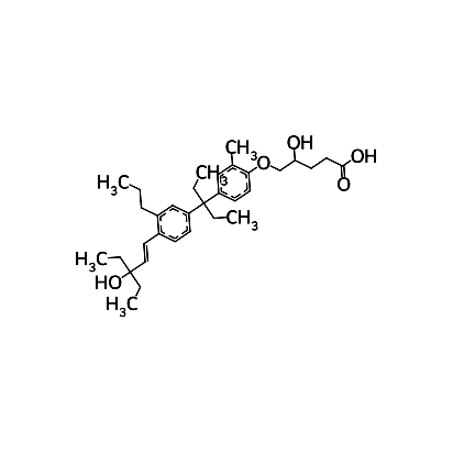 CCCc1cc(C(CC)(CC)c2ccc(OCC(O)CCC(=O)O)c(C)c2)ccc1C=CC(O)(CC)CC